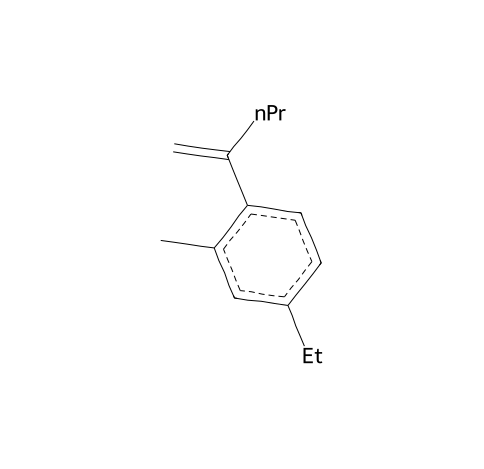 C=C(CCC)c1ccc(CC)cc1C